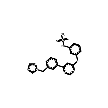 CS(=O)(=O)Nc1cccc(Nc2cc(-c3cccc(Cn4cncn4)c3)ncn2)c1